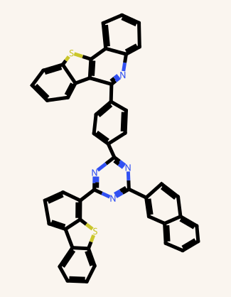 c1ccc2cc(-c3nc(-c4ccc(-c5nc6ccccc6c6sc7ccccc7c56)cc4)nc(-c4cccc5c4sc4ccccc45)n3)ccc2c1